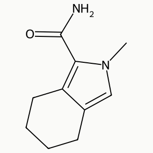 Cn1cc2c(c1C(N)=O)CCCC2